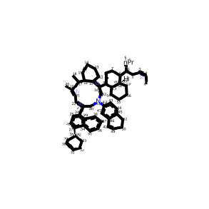 C/C=C\CC(CCC)C1CCC(/C2=C3\CCCCC3C(C)/C(C)=C/C=C(/c3ccc([C@@H]4CC=CCC4)c4ccccc34)CN(c3ccc4c(c3)C=CCC4)C2)C2CCCC[C@H]12